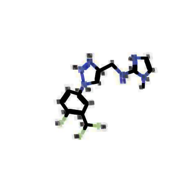 Cn1ccnc1NCc1cn(-c2ccc(F)c(C(F)F)c2)nn1